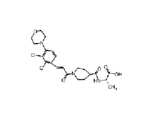 C[C@H](NC(=O)C1CCN(C(=O)/C=C/c2ccc(N3CCOCC3)c(Cl)c2Cl)CC1)C(=O)O